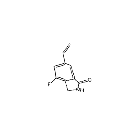 C=Cc1cc(F)c2c(c1)C(=O)NC2